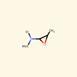 CCN(SC)C1OC1C